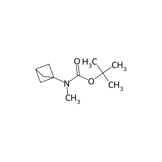 CN(C(=O)OC(C)(C)C)C12CC(C1)C2